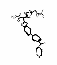 CS(=O)(=O)C(c1nnc(CN[SH](=O)=O)o1)c1nc2ccc(-c3ccc(C(=O)N4CCOCC4)cc3)cc2s1